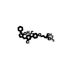 Cc1cc(OCCCN(C)C)ccc1-c1ccc(CC2CCN(C3CCCCC3)C2=O)c(Cl)c1